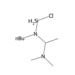 CCCCN([SiH2]Cl)C(C)N(C)C